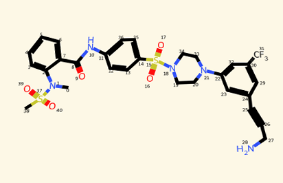 CN(c1ccccc1C(=O)Nc1ccc(S(=O)(=O)N2CCN(c3cc(C#CCN)cc(C(F)(F)F)c3)CC2)cc1)S(C)(=O)=O